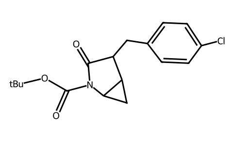 CC(C)(C)OC(=O)N1C(=O)C(Cc2ccc(Cl)cc2)C2CC21